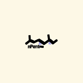 C/C=C(C)/C=C/C=C(C)C.CCCCCC